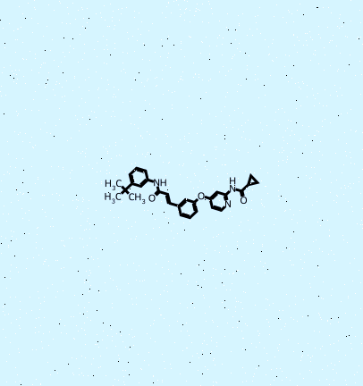 CC(C)(C)c1cccc(NC(=O)C=Cc2cccc(Oc3ccnc(NC(=O)C4CC4)c3)c2)c1